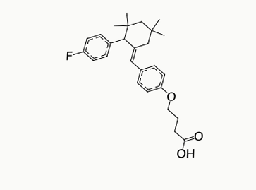 CC1(C)CC(=Cc2ccc(OCCCC(=O)O)cc2)C(c2ccc(F)cc2)C(C)(C)C1